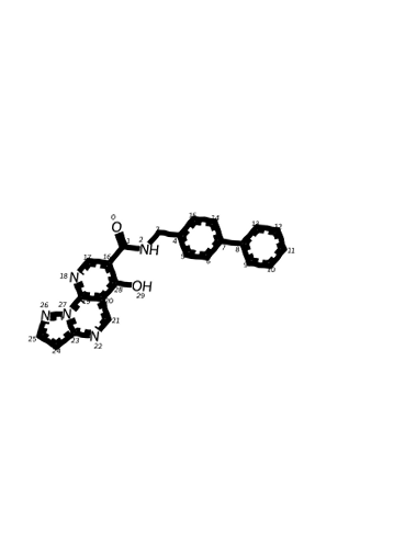 O=C(NCc1ccc(-c2ccccc2)cc1)c1cnc2c(cnc3ccnn32)c1O